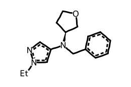 CCn1cc(N(Cc2ccccc2)[C@H]2CCOC2)cn1